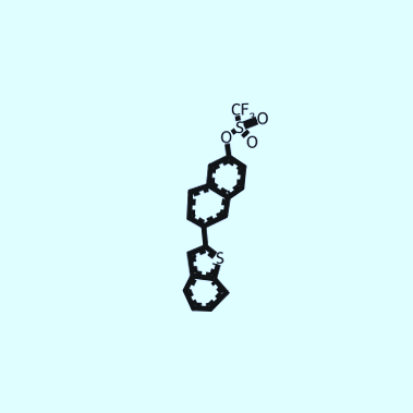 O=S(=O)(Oc1ccc2cc(-c3cc4ccccc4s3)ccc2c1)C(F)(F)F